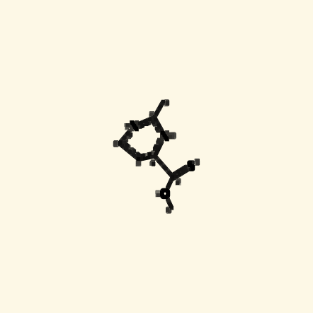 COC(=S)c1ccnc(C)n1